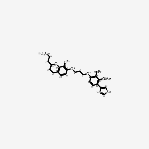 CCCc1c(OCCCOc2ccc(-c3cscn3)c(OC)c2CCC)ccc2c1OC(CCC(=O)O)CC2